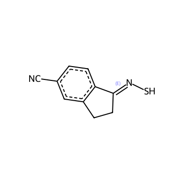 N#Cc1ccc2c(c1)CC/C2=N\S